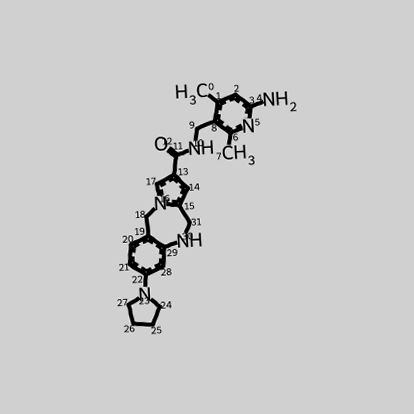 Cc1cc(N)nc(C)c1CNC(=O)c1cc2n(c1)Cc1ccc(N3CCCC3)cc1NC2